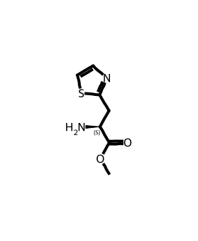 COC(=O)[C@@H](N)Cc1nccs1